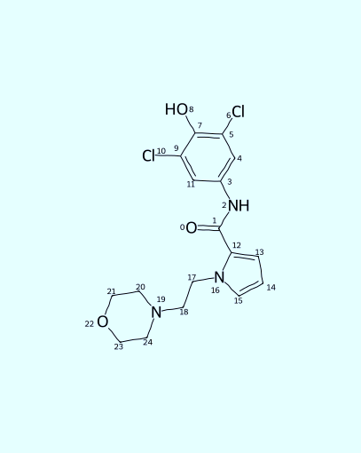 O=C(Nc1cc(Cl)c(O)c(Cl)c1)c1cccn1CCN1CCOCC1